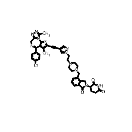 Cc1c(C#Cc2cnn(CCN3CCN(Cc4cccc5c4CN(C4CCC(=O)NC4=O)C5=O)CC3)c2)sc2c1C(c1ccc(Cl)cc1)=NCc1nnc(C)n1-2